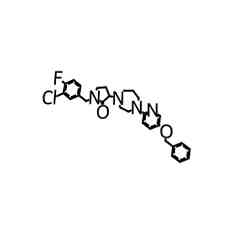 O=C1C(N2CCCN(c3ccc(OCc4ccccc4)cn3)CC2)CCN1Cc1ccc(F)c(Cl)c1